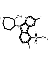 CS(=O)(=O)c1c(F)ccc2c1c1cc(F)cnc1n2[C@H]1CCCNC[C@@H]1O